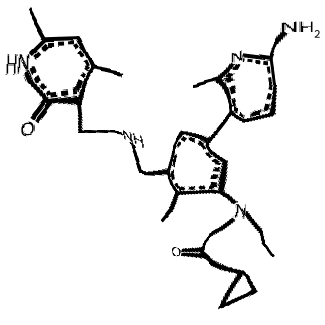 CCN(C(=O)C1CC1)c1cc(-c2ccc(N)nc2C)cc(CNCc2c(C)cc(C)[nH]c2=O)c1C